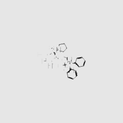 CN=S(C)(=O)N1CCC[C@@H]1CO[Si](c1ccccc1)(c1ccccc1)C(C)(C)C